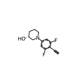 C#Cc1c(F)cc(N2CCC[C@@H](O)C2)cc1F